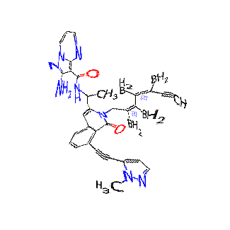 B/C(C#C)=C(B)/C(B)=C(/B)Cn1c(C(C)NC(=O)c2c(N)nn3cccnc23)cc2cccc(C#Cc3ccnn3C)c2c1=O